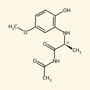 COc1ccc(O)c(N[C@@H](C)C(=O)NC(C)=O)c1